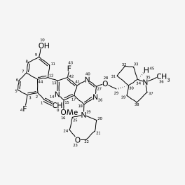 C#Cc1c(F)ccc2cc(O)cc(-c3nc(OC)c4c(N5CCCOCC5)nc(OC[C@]56CCC[C@H]5N(C)CCC6)nc4c3F)c12